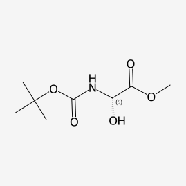 COC(=O)[C@H](O)NC(=O)OC(C)(C)C